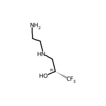 NCCNC[C@@H](O)C(F)(F)F